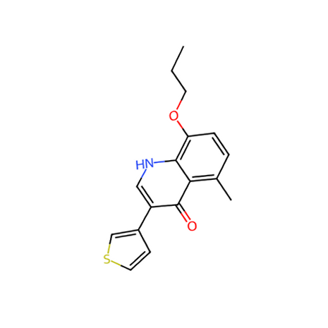 CCCOc1ccc(C)c2c(=O)c(-c3ccsc3)c[nH]c12